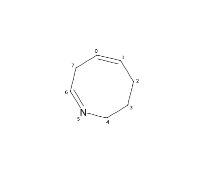 C1=CCCCN=CC1